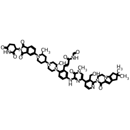 C[C@H]1CC(N2CCN(c3ccc(Nc4nc(-c5ccnc(N6CCn7c(cc8c7CC(C)(C)C8)C6=O)c5CO)cn(C)c4=O)cc3C=CC(=O)NC=O)[C@@H](C)C2)CCN1c1ccc2c(c1)C(=O)N(C1CCC(=O)NC1=O)C2=O